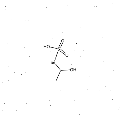 CC(O)[Se]S(=O)(=O)O